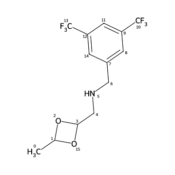 CC1OC(CNCc2cc(C(F)(F)F)cc(C(F)(F)F)c2)O1